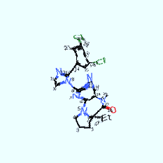 CC[C@@]12CCCN1c1nc(-n3ccnc3-c3cc(Cl)cc(Cl)c3)ncc1N(C)C2=O